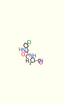 CC(Nc1cccc(-c2cnoc2)c1)c1cc2cc(Cl)ccc2[nH]c1=O